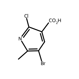 Cc1nc(Cl)c(C(=O)O)cc1Br